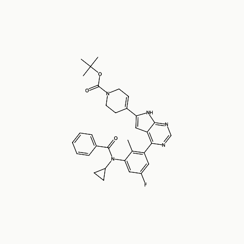 Cc1c(-c2ncnc3[nH]c(C4=CCN(C(=O)OC(C)(C)C)CC4)cc23)cc(F)cc1N(C(=O)c1ccccc1)C1CC1